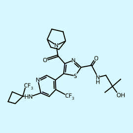 CC(C)(O)CNC(=O)c1nc(C(=O)N2C3CCC2CC3)c(-c2cnc(NC3(C(F)(F)F)CCC3)cc2C(F)(F)F)s1